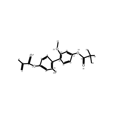 C=C(C)C(=O)Oc1ccc(-c2ccc(OC(=O)C(C)(C)C)cc2OC)c(F)c1